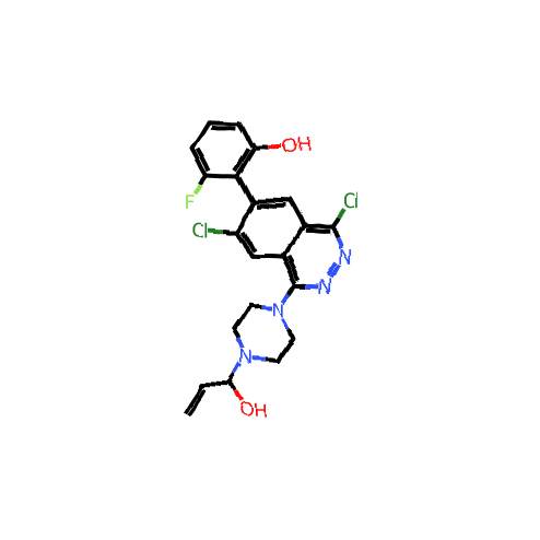 C=CC(O)N1CCN(c2nnc(Cl)c3cc(-c4c(O)cccc4F)c(Cl)cc23)CC1